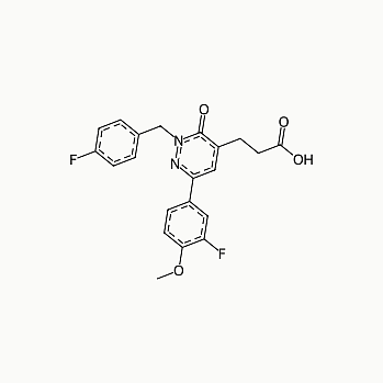 COc1ccc(-c2cc(CCC(=O)O)c(=O)n(Cc3ccc(F)cc3)n2)cc1F